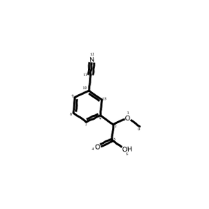 COC(C(=O)O)c1cccc(C#N)c1